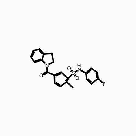 Cc1ccc(C(=O)N2CCc3ccccc32)cc1S(=O)(=O)Nc1ccc(F)cc1